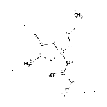 CCCCC(CC=O)(CCC)OC(=O)CC